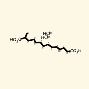 CC(CCCCCCCCCCCC(=O)O)C(=O)O.Cl.Cl